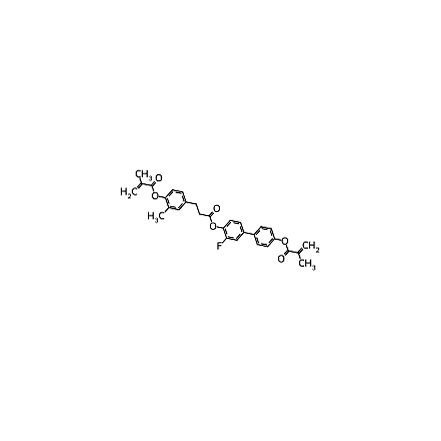 C=C(C)C(=O)Oc1ccc(-c2ccc(OC(=O)CCc3ccc(OC(=O)C(=C)C)c(C)c3)c(F)c2)cc1